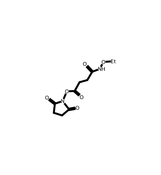 CCONC(=O)CCC(=O)ON1C(=O)CCC1=O